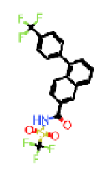 O=C(NS(=O)(=O)C(F)(F)F)c1ccc2c(-c3ccc(C(F)(F)F)cc3)cccc2c1